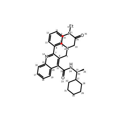 CCN1CCN(Cc2c(-c3ccccc3)nc3ccccc3c2C(=O)N[C@@H](C)C2CCCCC2)CC1=O